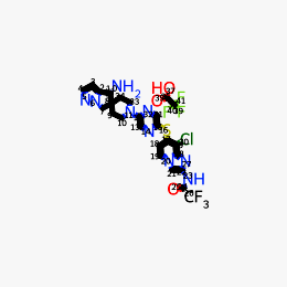 N[C@@H]1c2ccnn2CC12CCN(c1cnc(Sc3ccn4cc(NC(=O)C(F)(F)F)nc4c3Cl)cn1)CC2.O=C(O)C(F)(F)F